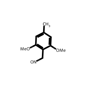 COc1cc(C)cc(OC)c1CN=O